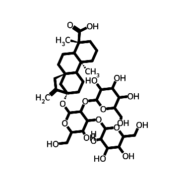 C=C1C[C@@]23CCC4[C@@](C)(CCC[C@@]4(C)C(=O)O)C2CC[C@]1(OC1OC(CO)C(O)C(OC2OC(CO)C(O)C(O)C2O)C1OC1OC(CO)C(O)C(O)C1O)C3